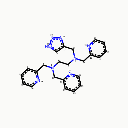 c1ccc(CN(CCN(Cc2ccccn2)Cc2c[nH]nn2)Cc2ccccn2)nc1